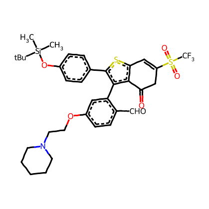 CC(C)(C)[Si](C)(C)Oc1ccc(-c2sc3c(c2-c2cc(OCCN4CCCCC4)ccc2C=O)C(=O)CC(S(=O)(=O)C(F)(F)F)=C3)cc1